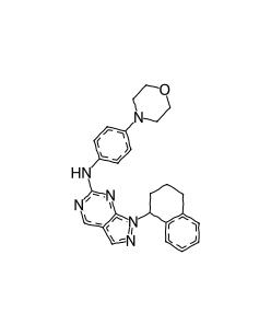 c1ccc2c(c1)CCCC2n1ncc2cnc(Nc3ccc(N4CCOCC4)cc3)nc21